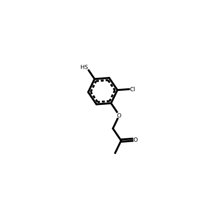 CC(=O)COc1ccc(S)cc1Cl